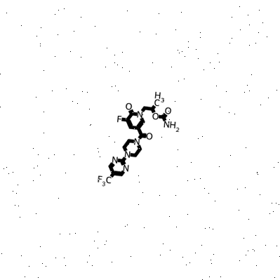 CC(Cn1cc(C(=O)N2CCN(c3ncc(C(F)(F)F)cn3)CC2)cc(F)c1=O)OC(N)=O